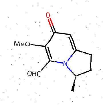 COc1c(C=O)n2c(cc1=O)CC[C@H]2C